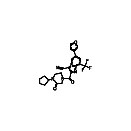 N#Cc1c(C(=O)N2CCN(C3CCCC3)C(=O)C2)nc2c(C(F)(F)F)cc(-c3ccoc3)cn12